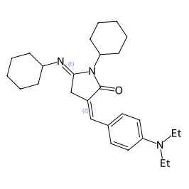 CCN(CC)c1ccc(/C=C2/C/C(=N\C3CCCCC3)N(C3CCCCC3)C2=O)cc1